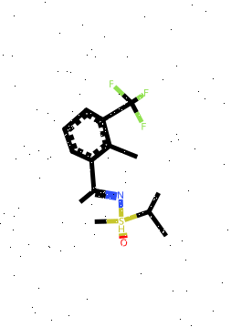 CC(=N[SH](C)(=O)C(C)C)c1cccc(C(F)(F)F)c1C